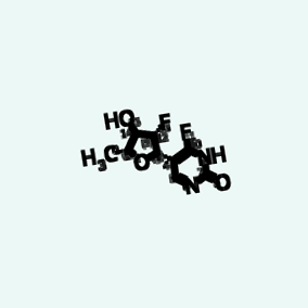 C[C@H]1O[C@@H](c2cnc(=O)[nH]c2F)[C@@H](F)C1O